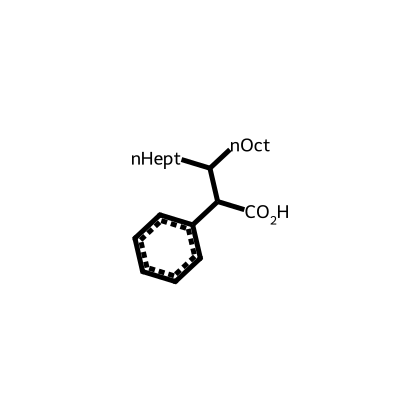 CCCCCCCCC(CCCCCCC)C(C(=O)O)c1ccccc1